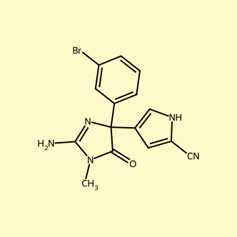 CN1C(=O)C(c2cccc(Br)c2)(c2c[nH]c(C#N)c2)N=C1N